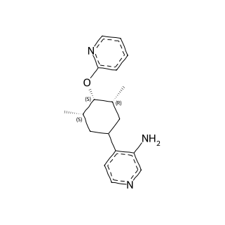 C[C@@H]1CC(c2ccncc2N)C[C@H](C)[C@@H]1Oc1ccccn1